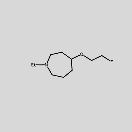 CCN1CCCC(OCCF)CC1